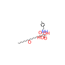 CCCCCCCC(=O)CCCCCC/C=C/[C@H](C(=O)NCCc1ccc(C)cc1)[C@](C)(O)C(=O)O